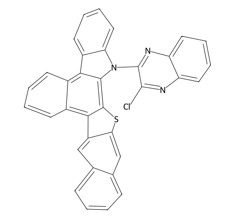 Clc1nc2ccccc2nc1-n1c2ccccc2c2c3ccccc3c3c4cc5ccccc5cc4sc3c21